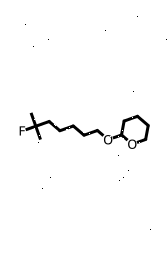 CC(C)(F)CCCCCOC1CCCCO1